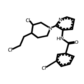 O=C(Nc1cccnc1N1CCC(CCCl)C(Cl)C1)c1cccc(Cl)c1